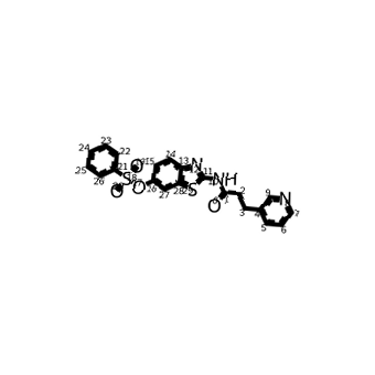 O=C(CCc1cccnc1)Nc1nc2ccc(OS(=O)(=O)c3ccccc3)cc2s1